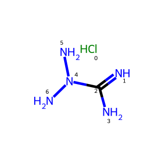 Cl.N=C(N)N(N)N